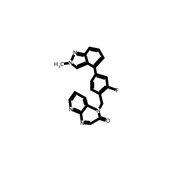 Cn1cc2c(-c3ccc(Cn4c(=O)cnc5ncccc54)c(F)c3)cccc2n1